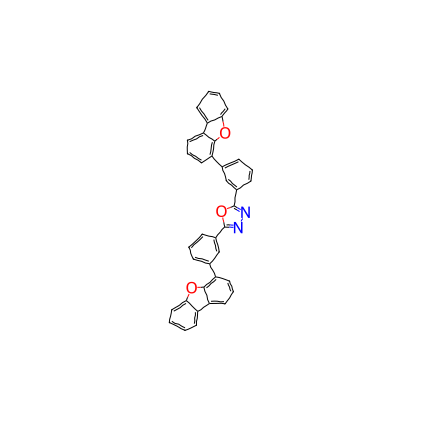 c1cc(-c2nnc(-c3cccc(-c4cccc5c4oc4ccccc45)c3)o2)cc(-c2cccc3c2oc2ccccc23)c1